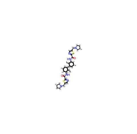 Cc1c(NC(=O)c2ncc(CN3CCCC3)s2)cccc1-c1cccc(NC(=O)c2ncc(CN3CCCC3)s2)c1C